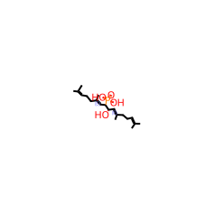 CC(C)=CCC/C(C)=C/C(O)C(/C=C(\C)CCC=C(C)C)P(=O)(O)O